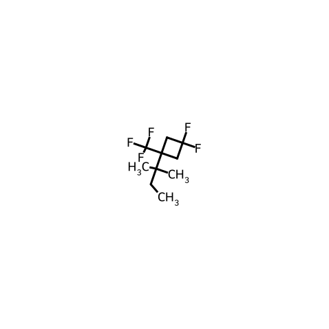 CCC(C)(C)C1(C(F)(F)F)CC(F)(F)C1